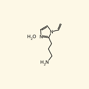 C=Cn1ccnc1CCCN.O